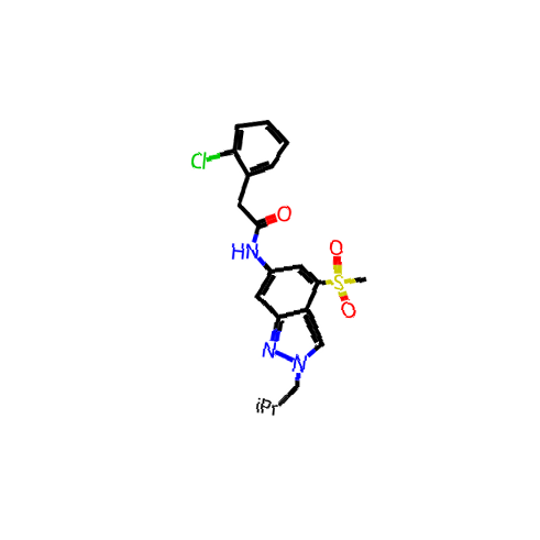 CC(C)Cn1cc2c(S(C)(=O)=O)cc(NC(=O)Cc3ccccc3Cl)cc2n1